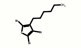 CCCCCCc1c(Br)sc(Br)c1Br